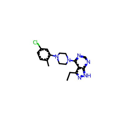 CCc1n[nH]c2ncnc(N3CCN(c4cc(Cl)ccc4C)CC3)c12